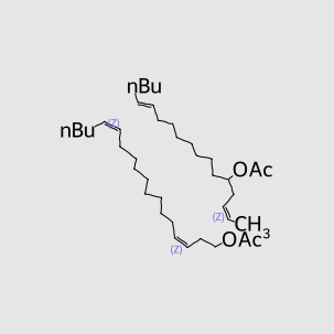 C/C=C\CC(CCCCCCCC=CCCCC)OC(C)=O.CCCC/C=C\CCCCCCCC/C=C\CCOC(C)=O